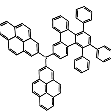 c1ccc(-c2cc(-c3ccccc3)c3c4ccccc4c4cc(N(c5cc6ccc7cccc8ccc(c5)c6c78)c5cc6ccc7cccc8ccc(c5)c6c78)ccc4c3c2-c2ccccc2)cc1